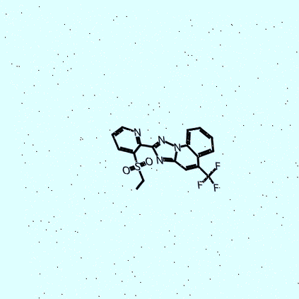 CCS(=O)(=O)c1cccnc1-c1nc2cc(C(F)(F)F)c3ccccc3n2n1